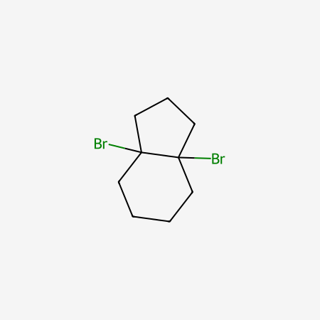 BrC12CCCCC1(Br)CCC2